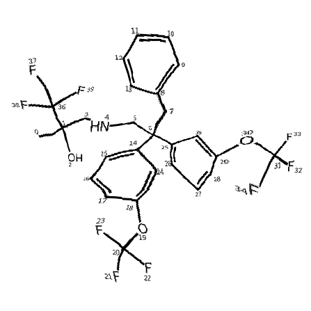 CC(O)(CNCC(Cc1ccccc1)(c1cccc(OC(F)(F)F)c1)c1cccc(OC(F)(F)F)c1)C(F)(F)F